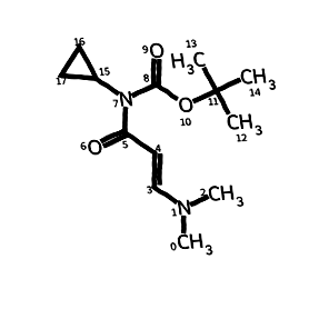 CN(C)/C=C/C(=O)N(C(=O)OC(C)(C)C)C1CC1